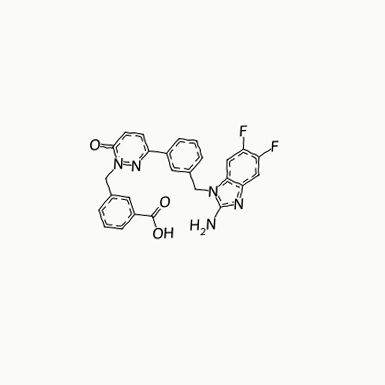 Nc1nc2cc(F)c(F)cc2n1Cc1cccc(-c2ccc(=O)n(Cc3cccc(C(=O)O)c3)n2)c1